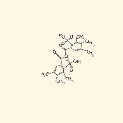 Cc1cc(C(=O)OC(=O)c2cc(C)c(C)c(C)c2S(=O)(=O)O)c(S(=O)(=O)O)c(C)c1C